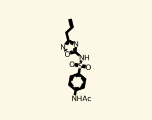 C=CCc1noc(NS(=O)(=O)c2ccc(NC(C)=O)cc2)n1